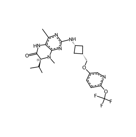 Cc1nc(N[C@H]2C[C@@H](COc3ccc(OC(F)(F)F)nc3)C2)nc2c1NC(=O)[C@H](C(C)C)N2C